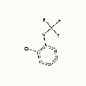 FC(F)(F)Sc1cc[c]cc1Cl